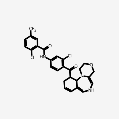 O=C(Nc1ccc(C(=O)C2CC=CC3=CNC=C4COCCN4C32)c(Cl)c1)c1cc(C(F)(F)F)ccc1Cl